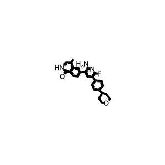 Cc1c[nH]c(=O)c2ccc(-c3cc(-c4ccc(C5CCOCC5)cc4)c(F)nc3N)cc12